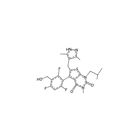 Cc1n[nH]c(C)c1Cc1sc2c(c1-c1c(F)cc(F)c(CO)c1F)c(=O)n(C)c(=O)n2CC(C)C